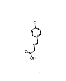 O=C(O)CN=Cc1ccc(Cl)cc1